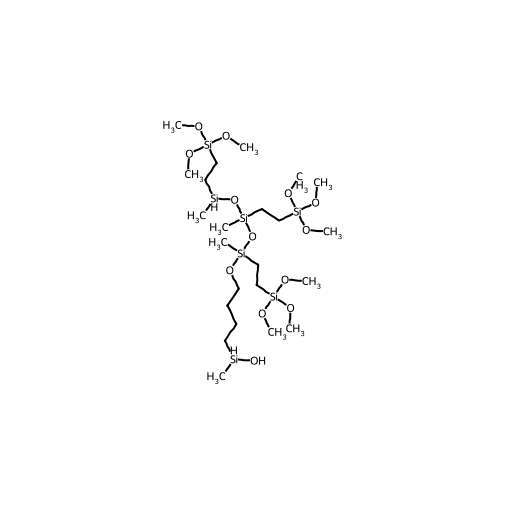 CO[Si](CC[SiH](C)O[Si](C)(CC[Si](OC)(OC)OC)O[Si](C)(CC[Si](OC)(OC)OC)OCCCC[SiH](C)O)(OC)OC